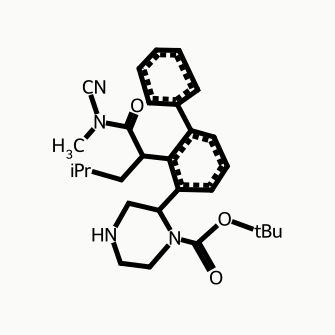 CC(C)CC(C(=O)N(C)C#N)c1c(-c2ccccc2)cccc1C1CNCCN1C(=O)OC(C)(C)C